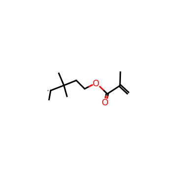 C=C(C)C(=O)OCCC(C)(C)[CH]C